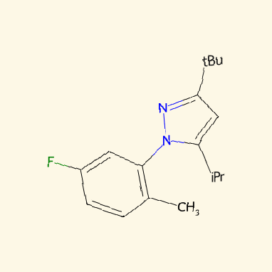 Cc1ccc(F)cc1-n1nc(C(C)(C)C)cc1C(C)C